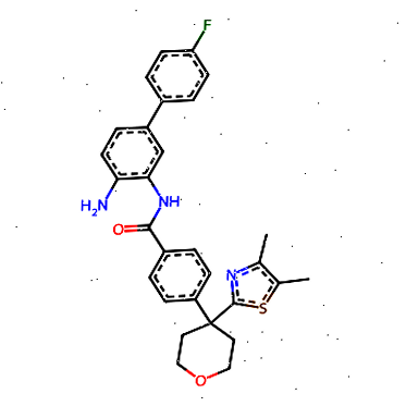 Cc1nc(C2(c3ccc(C(=O)Nc4cc(-c5ccc(F)cc5)ccc4N)cc3)CCOCC2)sc1C